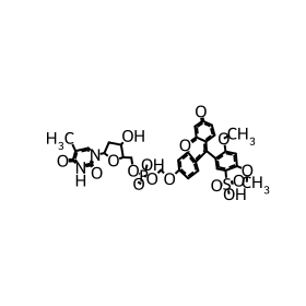 COc1cc(OC)c(S(=O)(=O)O)cc1-c1c2ccc(=O)cc-2oc2cc(OCOP(=O)(O)OCC3OC(n4cc(C)c(=O)[nH]c4=O)CC3O)ccc12